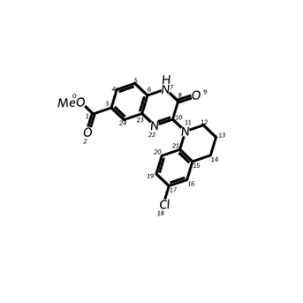 COC(=O)c1ccc2[nH]c(=O)c(N3CCCc4cc(Cl)ccc43)nc2c1